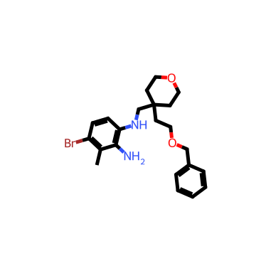 Cc1c(Br)ccc(NCC2(CCOCc3ccccc3)CCOCC2)c1N